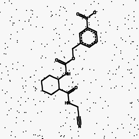 N#CCNC(=O)C1CCCCC1NC(=O)OCc1cccc([N+](=O)[O-])c1